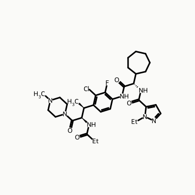 CCC(=O)N[C@@H](C(=O)N1CCN(C)CC1)[C@@H](C)c1ccc(NC(=O)[C@@H](NC(=O)c2ccnn2CC)C2CCCCCC2)c(F)c1Cl